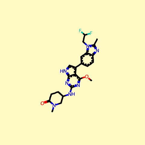 COc1nc(NC2CCC(=O)N(C)C2)nc2[nH]cc(-c3ccc4nc(C)n(CC(F)F)c4c3)c12